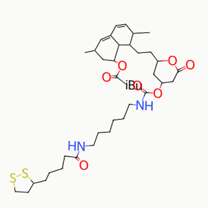 CCC(C)C(=O)OC1CC(C)C=C2C=CC(C)C(CCC3CC(OC(=O)NCCCCCCNC(=O)CCCCC4CCSS4)CC(=O)O3)C21